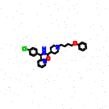 O=C(N[C@H](c1ccc(Cl)cc1)c1ccccn1)C1CCN(CCCCOc2ccccc2)CC1